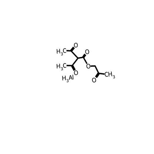 CC(=O)COC(=O)C(C(C)=O)C(C)=O.[AlH3]